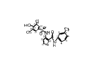 O=C(Nc1cccc(Cl)c1)c1sccc1NS(=O)(=O)c1cc(Cl)c(O)c(Cl)c1